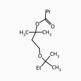 CCC(C)(C)OCCC(C)(C)OC(=O)C(C)C